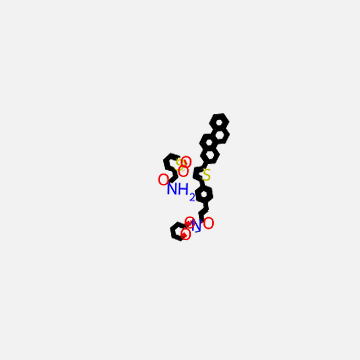 CN(OC1CCCCO1)C(=O)C=Cc1ccc(-c2ccc(C3=Cc4ccc5c(c4CC3)CCc3ccccc3-5)s2)cc1.NC(=O)CC1C=CC=CS1(=O)=O